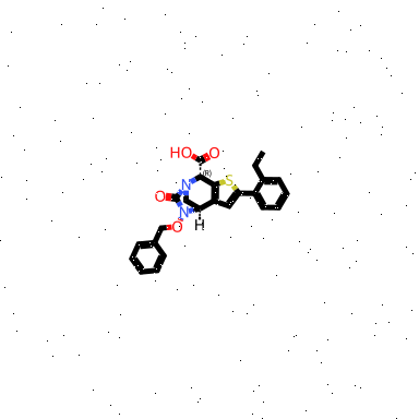 CCc1ccccc1-c1cc2c(s1)[C@@H](C(=O)O)N1C[C@@H]2N(OCc2ccccc2)C1=O